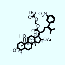 CC(=O)O[C@H]1C[C@@]2(C)[C@H](C[C@@H](O)[C@@H]3[C@@]4(C)CC[C@@H](O)[C@@H](C)C4CC[C@@]32C)C1=C(CCC(=C(C)C)c1cccc([N+](=O)[O-])c1)C(=O)OCOC(=O)C(C)(C)C